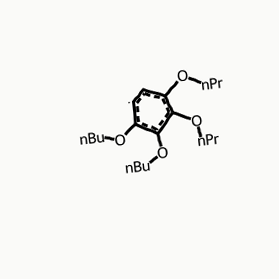 CCCCOc1[c]cc(OCCC)c(OCCC)c1OCCCC